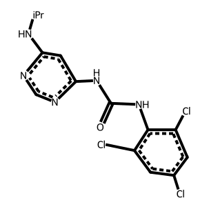 CC(C)Nc1cc(NC(=O)Nc2c(Cl)cc(Cl)cc2Cl)ncn1